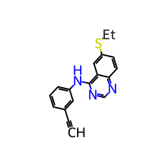 C#Cc1cccc(Nc2ncnc3ccc(SCC)cc23)c1